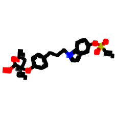 CC[C@@](C)(Oc1ccc(CCCn2ccc3cc(OS(C)(=O)=O)ccc32)cc1)C(O)O